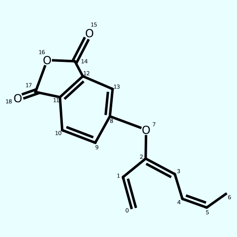 C=C/C(=C\C=C/C)Oc1ccc2c(c1)C(=O)OC2=O